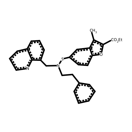 CCOC(=O)c1oc2ccc(SN(CCc3ccccc3)Cc3cccc4cccnc34)cc2c1C